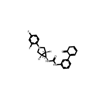 O=C(Nc1cccc(C2=CC=CCC2=S)c1)N[C@H]1[C@@H]2CN(c3ccc(F)cc3F)C[C@@H]21